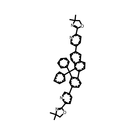 CC1(C)COC(c2ccc(-c3ccc4c(c3)C(c3ccccc3)(c3ccccc3)c3c-4ccc4cc(-c5ccc(C6=NC(C)(C)CO6)nc5)ccc34)cn2)=N1